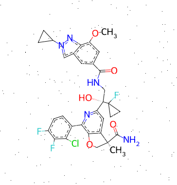 COc1cc(C(=O)NC[C@](O)(c2cc3c(c(-c4ccc(F)c(F)c4Cl)n2)OC[C@]3(C)C(N)=O)C2(F)CC2)cc2cn(C3CC3)nc12